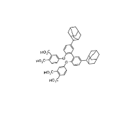 O=C(O)c1ccc(Oc2ccc(C3C4CC5CC(C4)CC3C5)cc2-c2cc(C3C4CC5CC(C4)CC3C5)ccc2Oc2ccc(C(=O)O)c(C(=O)O)c2)cc1C(=O)O